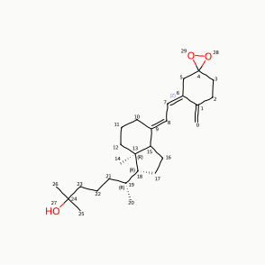 C=C1CCC2(C/C1=C/C=C1CCC[C@@]3(C)C1CC[C@@H]3[C@H](C)CCCC(C)(C)O)OO2